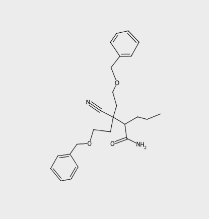 CCCC(C(N)=O)C(C#N)(CCOCc1ccccc1)CCOCc1ccccc1